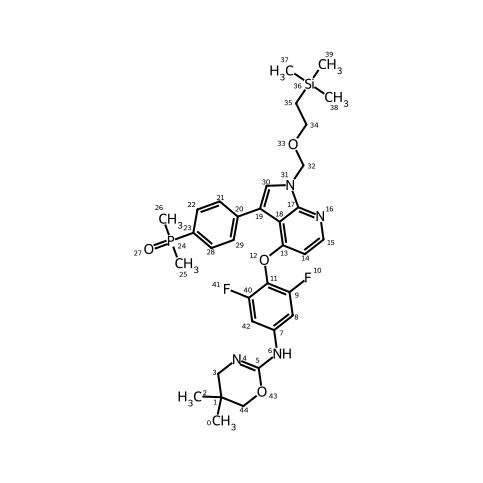 CC1(C)CN=C(Nc2cc(F)c(Oc3ccnc4c3c(-c3ccc(P(C)(C)=O)cc3)cn4COCC[Si](C)(C)C)c(F)c2)OC1